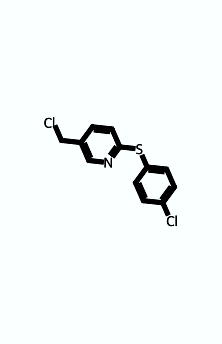 ClCc1ccc(Sc2ccc(Cl)cc2)nc1